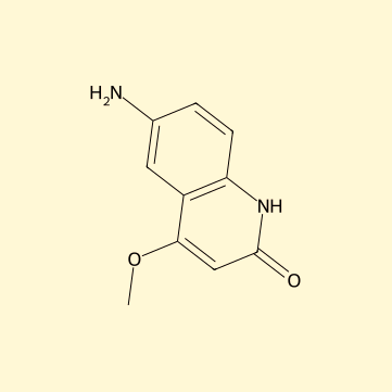 COc1cc(=O)[nH]c2ccc(N)cc12